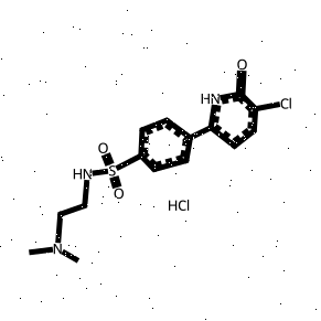 CN(C)CCNS(=O)(=O)c1ccc(-c2ccc(Cl)c(=O)[nH]2)cc1.Cl